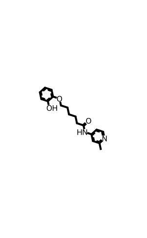 Cc1cc(NC(=O)CCCCCOc2ccccc2O)ccn1